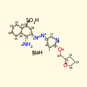 Nc1c(N=Nc2ccc(OCC3CCCO3)nc2)cc(S(=O)(=O)O)c2ccccc12.[NaH]